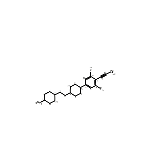 CCCC1CCC(CCC2CCC(c3cc(F)c(C#CC(F)(F)F)c(F)c3)CC2)CC1